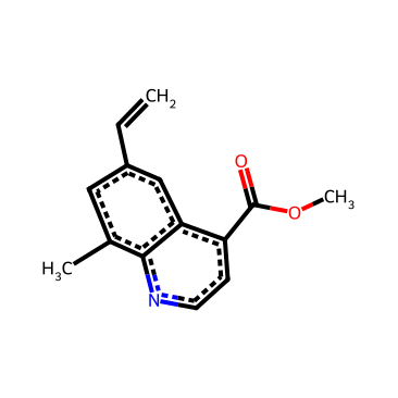 C=Cc1cc(C)c2nccc(C(=O)OC)c2c1